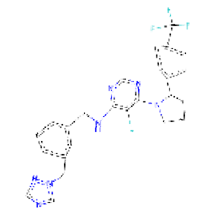 Fc1c(NCc2cccc(Cn3cncn3)c2)ncnc1N1CCCC1c1ccc(C(F)(F)F)cc1